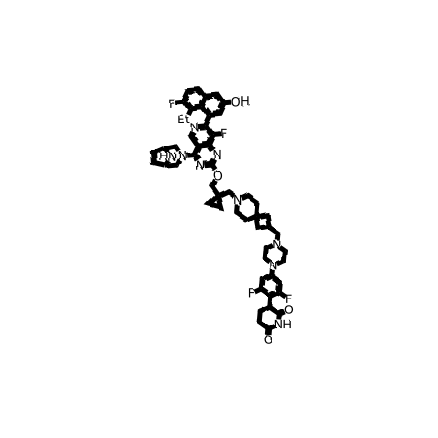 CCc1c(F)ccc2cc(O)cc(-c3ncc4c(N5CC6CCC(C5)N6)nc(OCC5(CN6CCC7(CC6)CC(CN6CCN(c8cc(F)c(C9CCC(=O)NC9=O)c(F)c8)CC6)C7)CC5)nc4c3F)c12